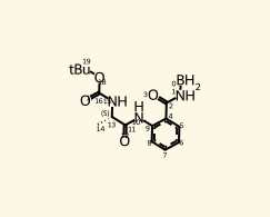 BNC(=O)c1ccccc1NC(=O)[C@H](C)NC(=O)OC(C)(C)C